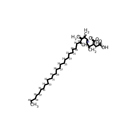 C=C(/C=C/C(=C)C(CC(=O)O)C(=O)O)C(=C)C(=C)CCCCCCCCCCCCCCCCCCCCCCCC